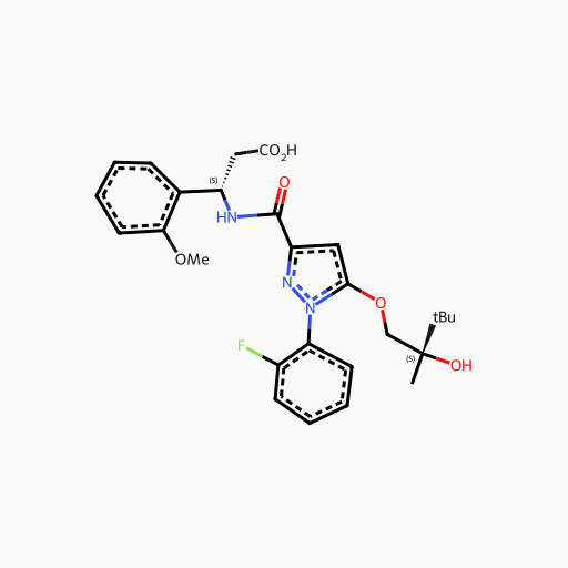 COc1ccccc1[C@H](CC(=O)O)NC(=O)c1cc(OC[C@@](C)(O)C(C)(C)C)n(-c2ccccc2F)n1